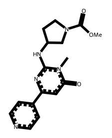 COC(=O)N1CCC(Nc2nc(-c3ccncc3)cc(=O)n2C)C1